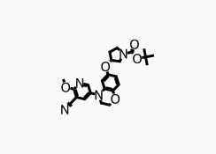 COc1ncc(N2CCOc3ccc(OC4CCN(C(=O)OC(C)(C)C)C4)cc32)cc1C#N